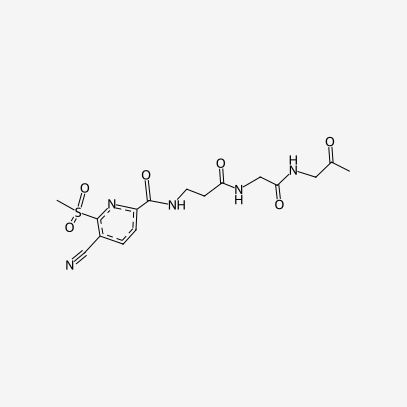 CC(=O)CNC(=O)CNC(=O)CCNC(=O)c1ccc(C#N)c(S(C)(=O)=O)n1